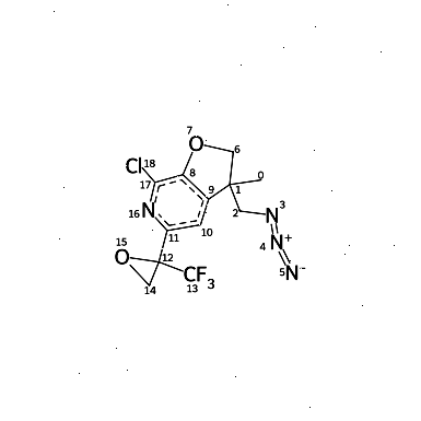 CC1(CN=[N+]=[N-])COc2c1cc(C1(C(F)(F)F)CO1)nc2Cl